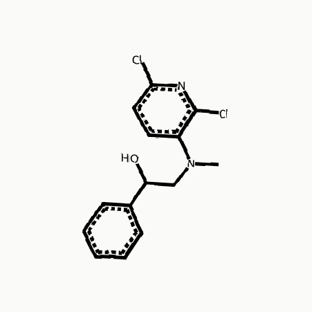 CN(CC(O)c1ccccc1)c1ccc(Cl)nc1Cl